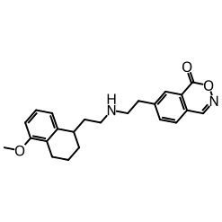 COc1cccc2c1CCCC2CCNCCc1ccc2cnoc(=O)c2c1